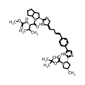 COC(=O)N[C@H](C(=O)N1C2CCCC2C[C@H]1C1=NC/C(=C\C/C=C/c2ccc(-c3cnc([C@@H]4C[C@H](C)CN4C(=O)OC(C)(C)C)[nH]3)cc2)N1)C(C)C